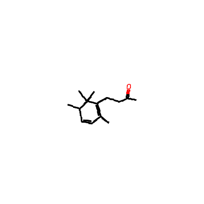 CC(=O)CCC1=C(C)C=CC(C)C1(C)C